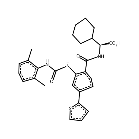 Cc1cccc(C)c1NC(=O)Nc1cc(-c2cccs2)ccc1C(=O)N[C@H](C(=O)O)C1CCCCC1